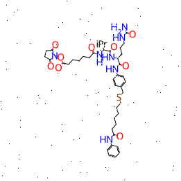 CC(C)[C@H](NC(=O)CCCCCC(=O)ON1C(=O)CCC1=O)C(=O)N[C@@H](CCCNC(N)=O)C(=O)Nc1ccc(CSCCCCCCC(=O)Nc2ccccc2)cc1